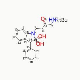 CC(C)(C)NCC(=O)CCN1c2ccccc2C(c2ccccc2)C1(O)O